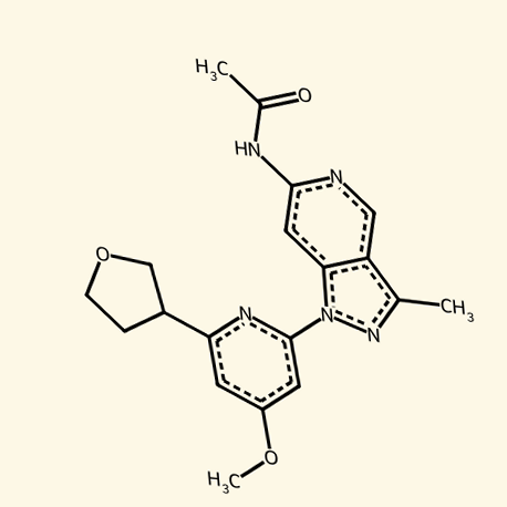 COc1cc(C2CCOC2)nc(-n2nc(C)c3cnc(NC(C)=O)cc32)c1